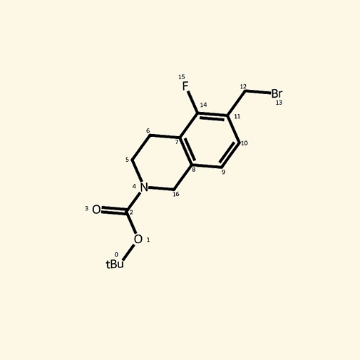 CC(C)(C)OC(=O)N1CCc2c(ccc(CBr)c2F)C1